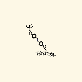 CCC(CC)(CC)CCOc1ccc(/C=C/c2ccc(OCCC(CC)(CO[Si](C)(C)C(C)(C)C)CO[Si](C)(C)C(C)(C)C)cc2)cc1